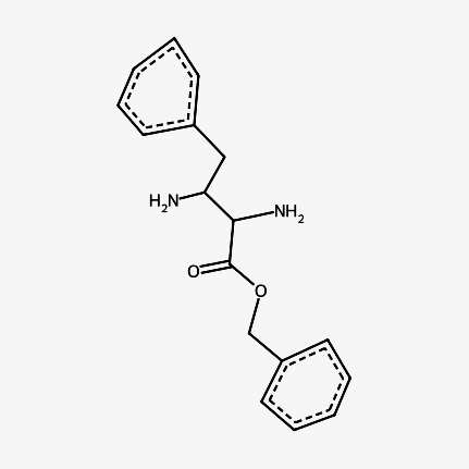 NC(Cc1ccccc1)C(N)C(=O)OCc1ccccc1